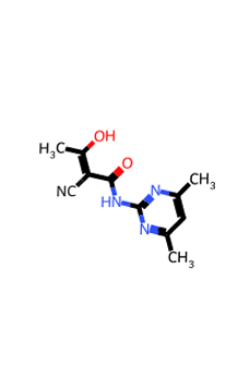 C/C(O)=C(\C#N)C(=O)Nc1nc(C)cc(C)n1